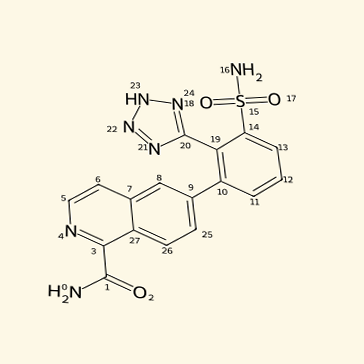 NC(=O)c1nccc2cc(-c3cccc(S(N)(=O)=O)c3-c3nn[nH]n3)ccc12